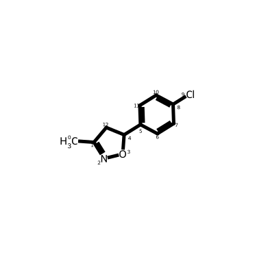 CC1=NOC(c2ccc(Cl)cc2)C1